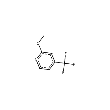 COc1[c]c(C(F)(F)F)ccn1